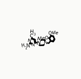 COc1cccc(CN2CCN(c3cc(C)nc(N)n3)CC2)c1OC